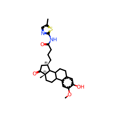 COc1cc2c(cc1O)CCC1C2CC[C@]2(C)C(=O)C[C@@H](CCCC(=O)Nc3ncc(C)s3)C12